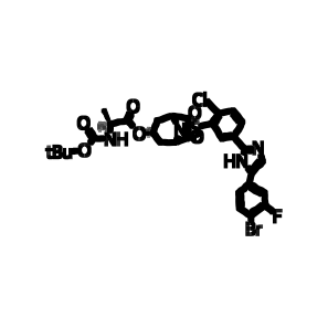 C[C@H](NC(=O)OC(C)(C)C)C(=O)O[C@@H]1CC2C[C@@H](C)C(C1)N2S(=O)(=O)c1cc(-c2ncc(-c3ccc(Br)c(F)c3)[nH]2)ccc1Cl